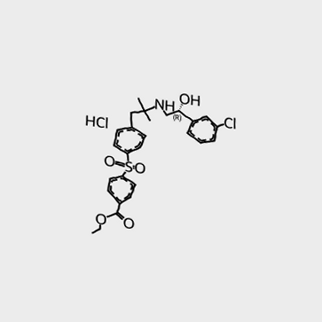 CCOC(=O)c1ccc(S(=O)(=O)c2ccc(CC(C)(C)NC[C@H](O)c3cccc(Cl)c3)cc2)cc1.Cl